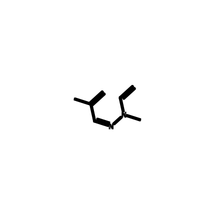 C=CN(C)/N=C\C(=C)C